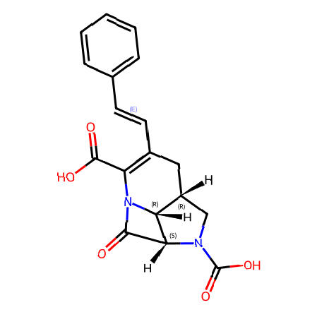 O=C(O)C1=C(/C=C/c2ccccc2)C[C@@H]2CN(C(=O)O)[C@@H]3C(=O)N1[C@H]23